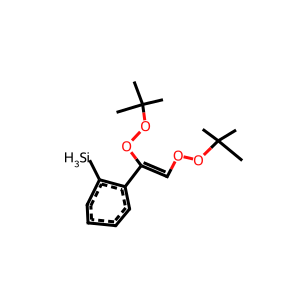 CC(C)(C)OOC=C(OOC(C)(C)C)c1ccccc1[SiH3]